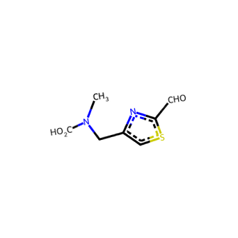 CN(Cc1csc(C=O)n1)C(=O)O